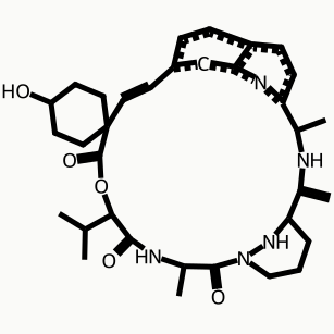 C=C1NC(C)c2ccc3ccc(cc3n2)/C=C/C2(CCC(O)CC2)C(=O)OC(C(C)C)C(=O)NC(C)C(=O)N2CCCC1N2